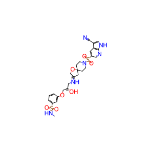 CNS(=O)(=O)c1cccc(OC[C@@H](O)CN[C@H]2COC3(CCN(S(=O)(=O)c4cnc5[nH]cc(C#N)c5c4)CC3)C2)c1